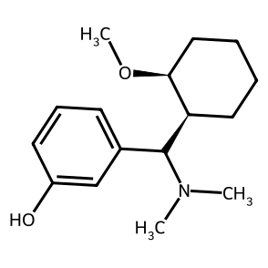 CO[C@H]1CCCC[C@H]1C(c1cccc(O)c1)N(C)C